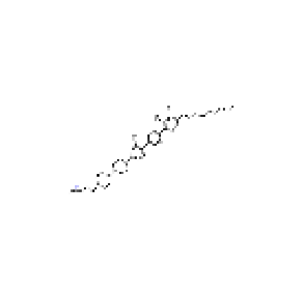 C/C=C/CCC1CCC(C2CCC(c3ccc(-c4ccc(-c5ccc(CCCCCCCCC)c(F)c5F)cc4)c(F)c3)CC2)CC1